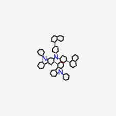 c1ccc(-n2c3ccccc3c3cc(-c4cccc5c4c4ccccc4n5-c4ccccc4)c(N(c4ccc(-c5cccc6ccccc56)cc4)c4ccc(-c5cccc6ccccc56)cc4)cc32)cc1